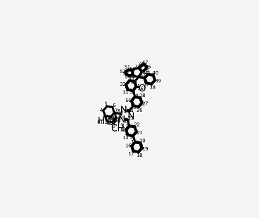 CC1C[C@@H]2CCCC(c3nc(-c4ccc(-c5ccccc5)cc4)nc(-c4cccc(-c5cccc6c5Oc5ccccc5C65c6ccccc6-c6ccccc65)c4)n3)(C1)[C@H]2C